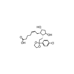 O=C(O)CCC/C=C\C[C@@H]1[C@@H](CCC2(c3ccc(Cl)cc3)OCCO2)[C@H](O)C[C@H]1O